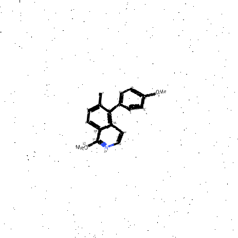 COc1ccc(-c2c(C)ccc3c(OC)nccc23)cc1